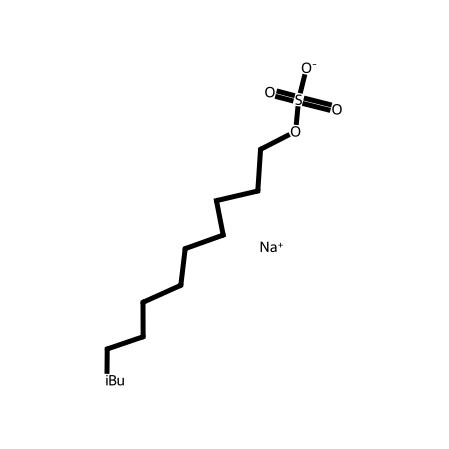 CCC(C)CCCCCCCCCOS(=O)(=O)[O-].[Na+]